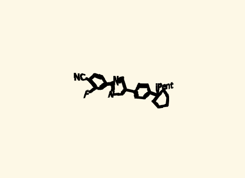 CCCC(C)C1(c2ccc(-c3cnc(-c4ccc(C#N)c(F)c4)nc3)cc2)CCCCC1